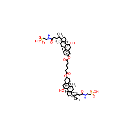 C[C@H](CCC(=O)NCCS(=O)(=O)O)[C@H]1CC[C@@H]2C3[C@@H](CC[C@@]21C)[C@@]1(C)CC[C@H](OC(=O)CCCCC(=O)O[C@H]2CC[C@@]4(C)C(C2)C[C@H](O)C2[C@H]5CC[C@H]([C@H](C)CCC(=O)NCCS(=O)(=O)O)[C@@]5(C)CC[C@H]24)CC1C[C@@H]3O